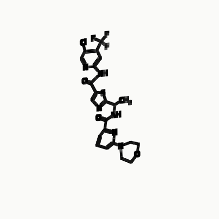 CC(NC(=O)c1cccc(N2CCOCC2)n1)c1ncc(C(=O)Nc2cc(C(F)(F)F)c(Cl)cn2)s1